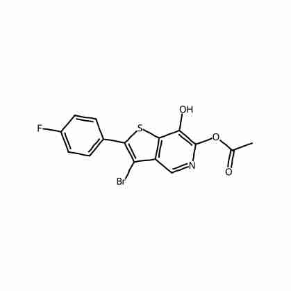 CC(=O)Oc1ncc2c(Br)c(-c3ccc(F)cc3)sc2c1O